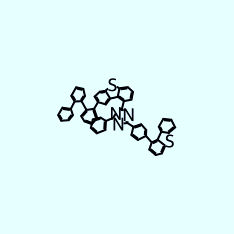 c1ccc(-c2nc(-c3ccc(-c4cccc5sc6ccccc6c45)cc3)nc(-c3cccc4sc5ccc(-c6ccccc6-c6ccccc6-c6ccccc6)cc5c34)n2)cc1